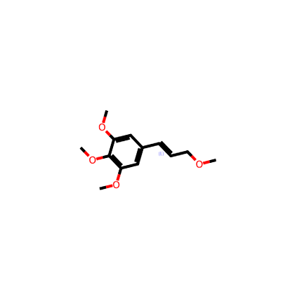 COC/C=C/c1cc(OC)c(OC)c(OC)c1